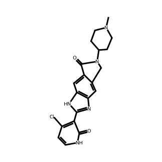 CN1CCC(N2Cc3cc4nc(-c5c(Cl)cc[nH]c5=O)[nH]c4cc3C2=O)CC1